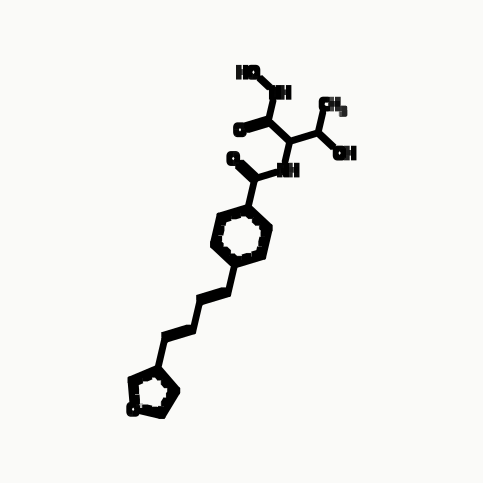 CC(O)C(NC(=O)c1ccc(/C=C/C=C/c2ccoc2)cc1)C(=O)NO